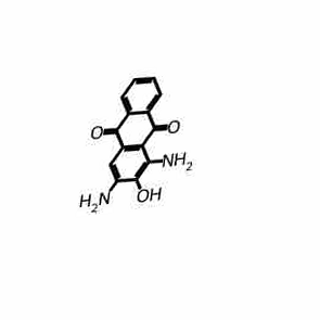 Nc1cc2c(c(N)c1O)C(=O)c1ccccc1C2=O